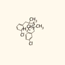 CC(C)(Cc1cccc(Cl)c1)SC(C)(C)Cc1cccc(Cl)c1